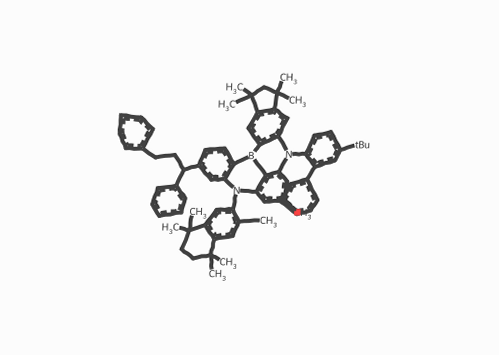 Cc1cc2c3c(c1)N(c1ccc(C(C)(C)C)cc1-c1ccccc1)c1cc4c(cc1B3c1ccc(C(CCc3ccccc3)c3ccccc3)cc1N2c1cc2c(cc1C)C(C)(C)CCC2(C)C)C(C)(C)CC4(C)C